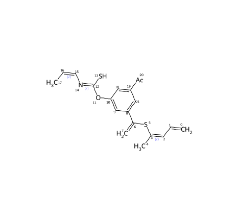 C=C/C=C(/C)SC(=C)c1cc(O/C(S)=N/C=C\C)cc(C(C)=O)c1